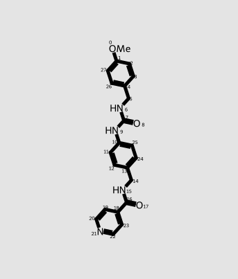 COc1ccc(CNC(=O)Nc2ccc(CNC(=O)c3ccncc3)cc2)cc1